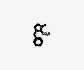 CN1CCN(Cc2ccccc2)C1C(=O)O